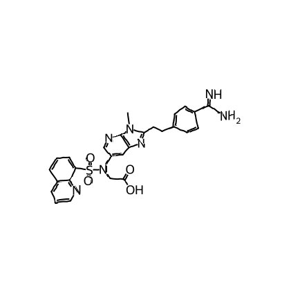 Cn1c(CCc2ccc(C(=N)N)cc2)nc2cc(N(CC(=O)O)S(=O)(=O)c3cccc4cccnc34)cnc21